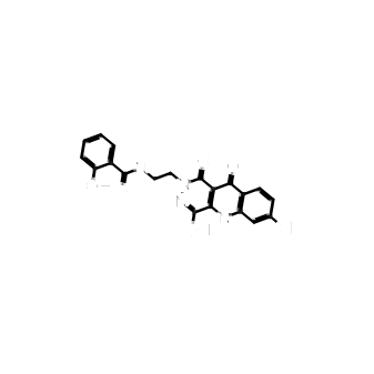 O=C(NCCn1nc(O)c2[nH]c3cc(Cl)ccc3c(=O)c2c1=O)c1ccccc1O